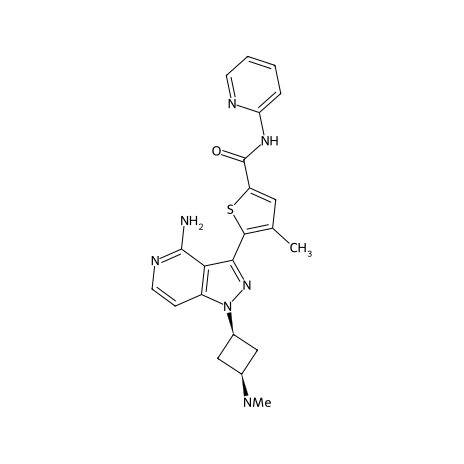 CN[C@H]1C[C@@H](n2nc(-c3sc(C(=O)Nc4ccccn4)cc3C)c3c(N)nccc32)C1